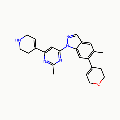 Cc1nc(C2=CCNCC2)cc(-n2ncc3cc(C)c(C4=CCOCC4)cc32)n1